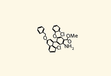 COC(=O)c1cc(Oc2ccccc2Cl)c(-c2cc(OCc3ccccc3)cc3cccc(Cl)c23)cc1N